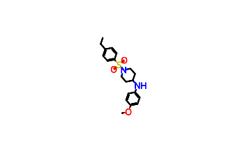 CCc1ccc(S(=O)(=O)N2CCC(Nc3ccc(OC)cc3)CC2)cc1